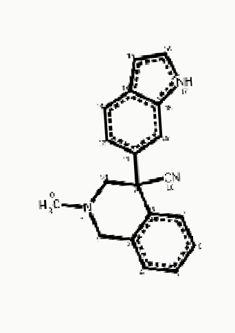 CN1Cc2ccccc2C(C#N)(c2ccc3cc[nH]c3c2)C1